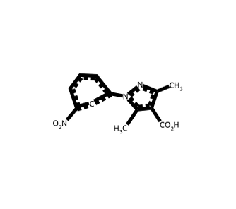 Cc1nn(-c2cccc([N+](=O)[O-])c2)c(C)c1C(=O)O